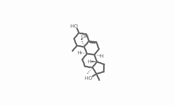 CC1CC(O)CC2=CC[C@@H]3[C@@H](CC[C@@]4(C)[C@H]3CCC4(C)O)[C@]21CO